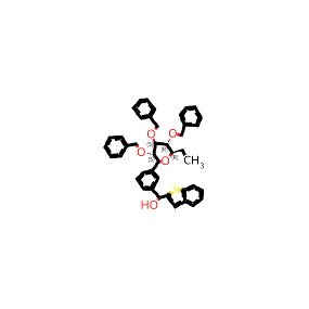 CC[C@H]1OC(c2cccc(C(O)c3cc4ccccc4s3)c2)[C@H](OCc2ccccc2)[C@@H](OCc2ccccc2)[C@@H]1OCc1ccccc1